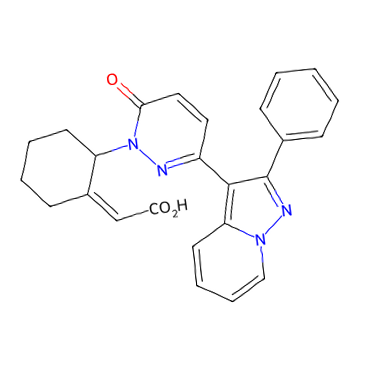 O=C(O)/C=C1/CCCCC1n1nc(-c2c(-c3ccccc3)nn3ccccc23)ccc1=O